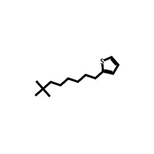 CC(C)(C)CCCCCCc1cccs1